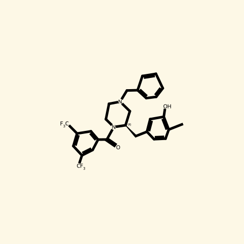 Cc1ccc(C[C@@H]2CN(Cc3ccccc3)CCN2C(=O)c2cc(C(F)(F)F)cc(C(F)(F)F)c2)cc1O